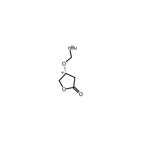 CCCCCO[C@H]1COC(=O)C1